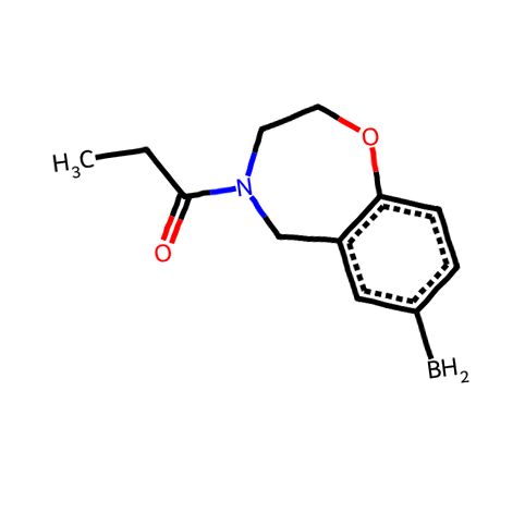 Bc1ccc2c(c1)CN(C(=O)CC)CCO2